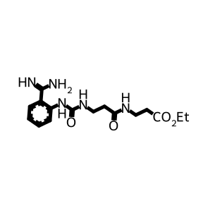 CCOC(=O)CCNC(=O)CCNC(=O)Nc1ccccc1C(=N)N